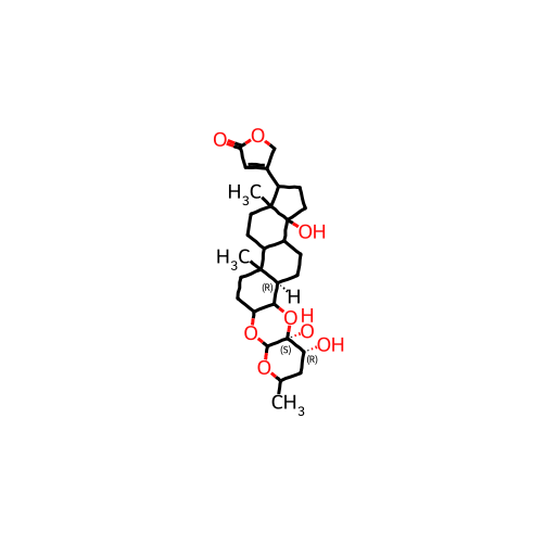 CC1C[C@@H](O)[C@]2(O)OC3C(CCC4(C)C5CCC6(C)C(C7=CC(=O)OC7)CCC6(O)C5CC[C@@H]34)OC2O1